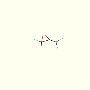 FC(F)C1OC1(F)C(F)(F)F